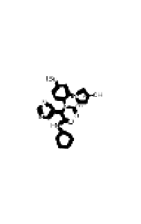 CC(C)(C)c1ccc(N(C(=O)[C@H]2C[C@@H](O)CN2)C(C(=O)NC2CCCCC2)c2cncnc2)cc1